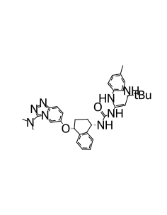 Cc1ccc(N/C(=C\C(=N)C(C)(C)C)NC(=O)N[C@H]2CC[C@@H](Oc3ccc4nnc(N(C)C)n4c3)c3ccccc32)cc1